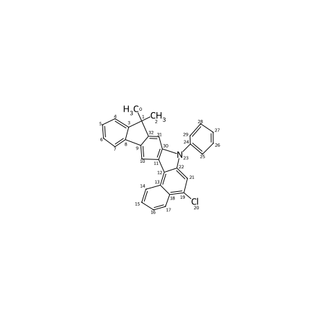 CC1(C)c2ccccc2-c2cc3c4c5ccccc5c(Cl)cc4n(-c4ccccc4)c3cc21